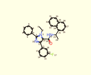 CCn1c(-c2ccccc2)nc(-c2cccc(F)c2)c1C(=O)NC(C)c1cccc2ccccc12